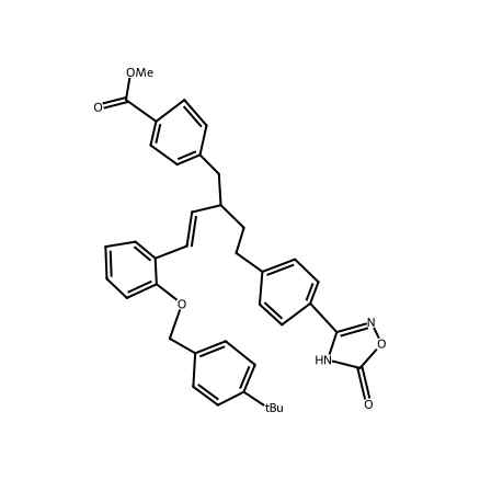 COC(=O)c1ccc(CC(/C=C/c2ccccc2OCc2ccc(C(C)(C)C)cc2)CCc2ccc(-c3noc(=O)[nH]3)cc2)cc1